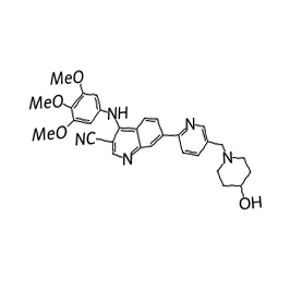 COc1cc(Nc2c(C#N)cnc3cc(-c4ccc(CN5CCC(O)CC5)cn4)ccc23)cc(OC)c1OC